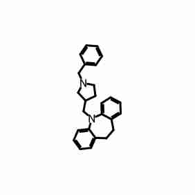 c1ccc(CN2CCC(CN3c4ccccc4CCc4ccccc43)C2)cc1